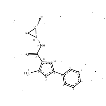 Cc1nc(-c2cccnc2)sc1C(=O)N[C@@H]1C[C@@H]1F